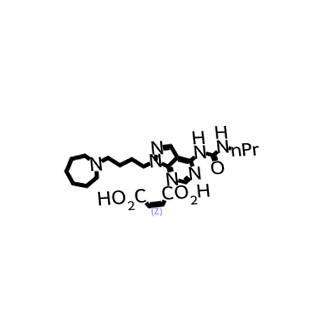 CCCNC(=O)Nc1ncnc2c1cnn2CCCCN1CCCCCC1.O=C(O)/C=C\C(=O)O